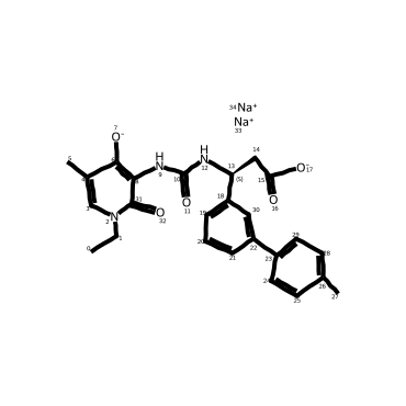 CCn1cc(C)c([O-])c(NC(=O)N[C@@H](CC(=O)[O-])c2cccc(-c3ccc(C)cc3)c2)c1=O.[Na+].[Na+]